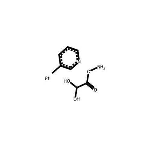 Cc1cccnc1.NOC(=O)C(O)O.[Pt]